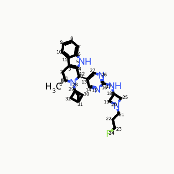 C[C@@H]1Cc2c([nH]c3ccccc23)[C@@H](c2cnc(NC3CN(CCCF)C3)nc2)N1C12CC(C1)C2